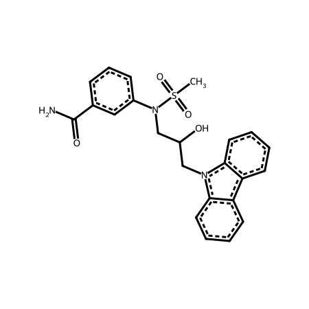 CS(=O)(=O)N(CC(O)Cn1c2ccccc2c2ccccc21)c1cccc(C(N)=O)c1